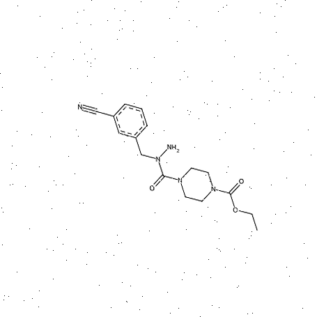 CCOC(=O)N1CCN(C(=O)N(N)Cc2cccc(C#N)c2)CC1